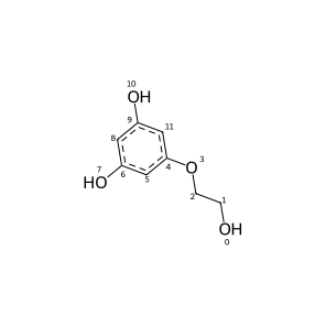 OCCOc1cc(O)cc(O)c1